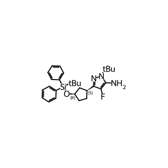 CC(C)(C)n1nc([C@H]2CC[C@@H](O[Si](c3ccccc3)(c3ccccc3)C(C)(C)C)C2)c(F)c1N